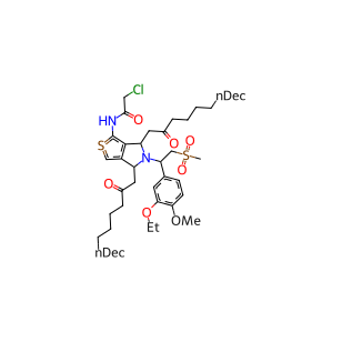 CCCCCCCCCCCCCCC(=O)CC1c2csc(NC(=O)CCl)c2C(CC(=O)CCCCCCCCCCCCCC)N1C(CS(C)(=O)=O)c1ccc(OC)c(OCC)c1